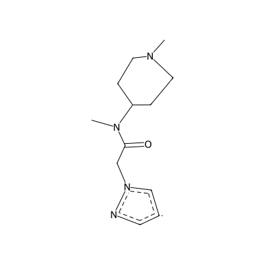 CN1CCC(N(C)C(=O)Cn2c[c]cn2)CC1